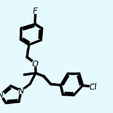 CC(CCc1ccc(Cl)cc1)(Cn1ccnc1)OCc1ccc(F)cc1